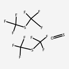 FC(F)(F)SC(F)(F)F.FC(F)(F)SC(F)(F)F.O=S